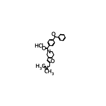 CN(C)Cc1cc2c(o1)CCN(C(=O)c1ccc(C(=O)c3ccccc3)cc1)C2.Cl